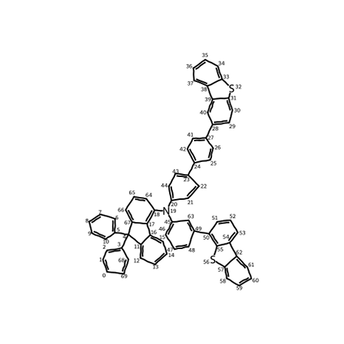 c1ccc(C2(c3ccccc3)c3ccccc3-c3c(N(c4ccc(-c5ccc(-c6ccc7sc8ccccc8c7c6)cc5)cc4)c4cccc(-c5cccc6c5sc5ccccc56)c4)cccc32)cc1